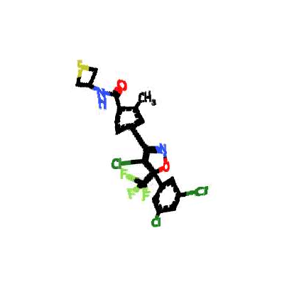 Cc1cc(C2=NOC(c3cc(Cl)cc(Cl)c3)(C(F)(F)F)C2Cl)ccc1C(=O)NC1CSC1